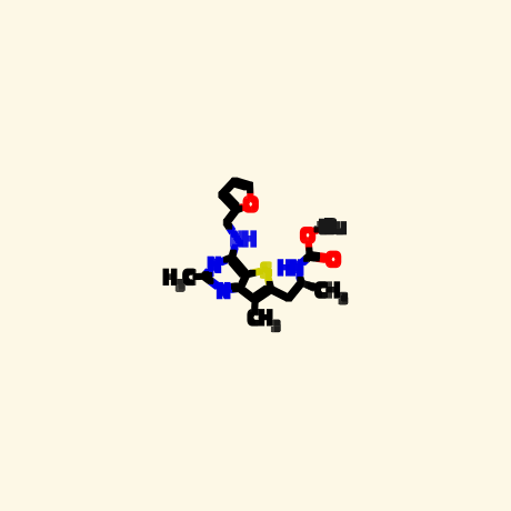 Cc1nc(NCc2ccco2)c2sc(C[C@H](C)NC(=O)OC(C)(C)C)c(C)c2n1